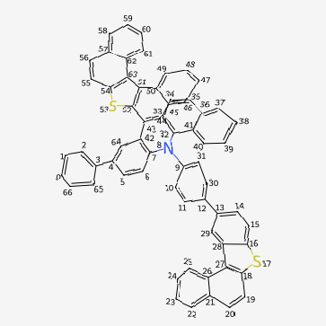 c1ccc(-c2ccc(N(c3ccc(-c4ccc5sc6ccc7ccccc7c6c5c4)cc3)c3cccc4ccccc34)c(-c3cc4ccccc4c4c3sc3ccc5ccccc5c34)c2)cc1